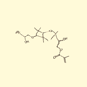 C=C(C)C(=O)OCC(O)C(C)(C)OC1C(C)(C)C(OCC(O)C(C)C)C1(C)C